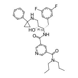 CCCN(CCC)C(=O)c1cncc(C(=O)N[C@@H](Cc2cc(F)cc(F)c2)[C@H](O)CNC2(c3ccccc3)CC2)c1